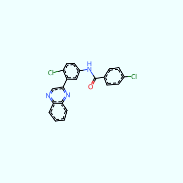 O=C(Nc1ccc(Cl)c(-c2cnc3ccccc3n2)c1)c1ccc(Cl)cc1